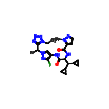 CCC(c1nnnn1CC(F)(F)F)n1cc(NC(=O)[C@@H](NC(=O)c2ccnn2C(C)C)C(C2CC2)C2CC2)c(F)n1